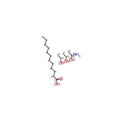 CCCCCCCCCCCC(=O)O.CCO.CCO.CCO.N